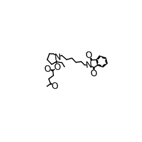 CCC1(OC(=O)CCC(C)=O)CCCCN1CCCCCCN1C(=O)c2ccccc2C1=O